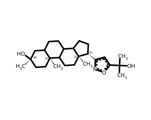 CC(C)(O)c1cc([C@H]2CCC3C4CCC5C[C@](C)(O)CC[C@]5(C)C4CC[C@@]32C)no1